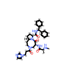 CN[C@@H](C)C(=O)N[C@H]1CN(C(=O)CCn2ccnc2)CC[C@H]2CC[C@@H](C(=O)NC(c3ccccc3)c3ccccc3)N2C1=O